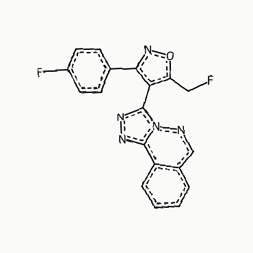 FCc1onc(-c2ccc(F)cc2)c1-c1nnc2c3ccccc3cnn12